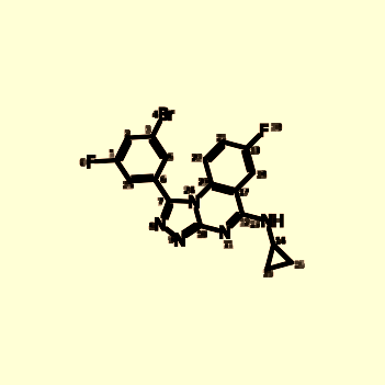 Fc1cc(Br)cc(-c2nnc3nc(NC4CC4)c4cc(F)ccc4n23)c1